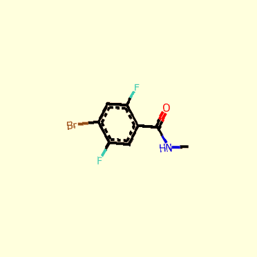 CNC(=O)c1cc(F)c(Br)cc1F